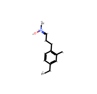 Cc1cc(CC(C)C)ccc1CCC=[N+]([O-])C(C)C